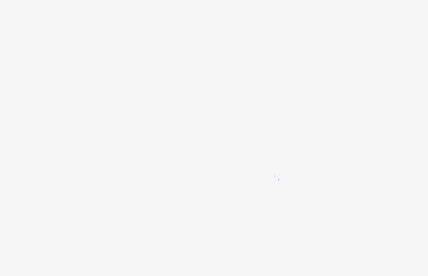 Cl.NCCc1c(Cl)c(Br)cc2cc(I)ccc12